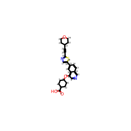 O=C(O)C1CCC(Oc2cncc3ccc(-c4cnc(C#CC5CCOCC5)s4)cc23)CC1